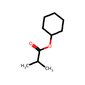 CC(C)C(=O)OC1CCCCC1